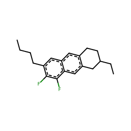 CCCCc1cc2cc3c(cc2c(F)c1F)CC(CC)CC3